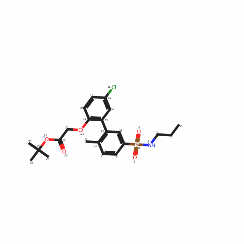 CCCNS(=O)(=O)c1ccc(C)c(-c2cc(Cl)ccc2OCC(=O)OC(C)(C)C)c1